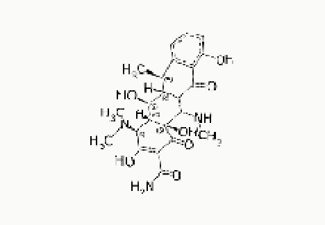 CNC1C2C(=O)c3c(O)cccc3[C@H](C)[C@H]2[C@H](O)[C@H]2[C@H](N(C)C)C(O)=C(C(N)=O)C(=O)[C@@]12O